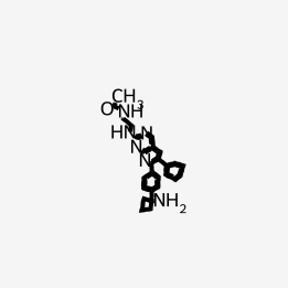 CC(=O)NCCNc1ncc2cc(-c3ccccc3)c(-c3ccc(C4(N)CCC4)cc3)nc2n1